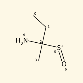 CCC(C)(N)[S+]=O